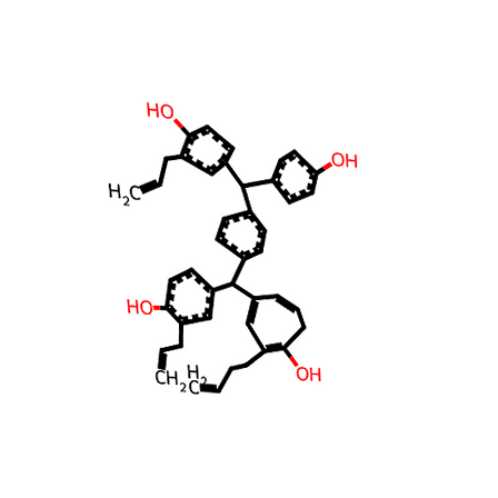 C=CCCC1=C(O)CC=CC(C(c2ccc(C(c3ccc(O)cc3)c3ccc(O)c(CC=C)c3)cc2)c2ccc(O)c(CC=C)c2)=C1